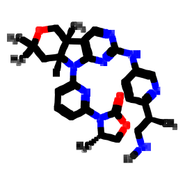 CCNC[C@H](C)c1ccc(Nc2ncc3c(n2)N(c2cccc(N4C(=O)OC[C@@H]4C)n2)[C@@H]2CC(C)(C)OC[C@]32C)cn1